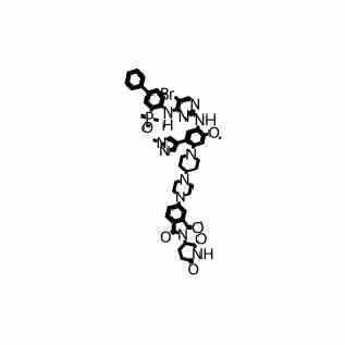 COc1cc(N2CCC(N3CCN(c4ccc5c(c4)C(=O)N(C4CCC(=O)NC4=O)C5=O)CC3)CC2)c(-c2cnn(C)c2)cc1Nc1ncc(Br)c(Nc2ccc(-c3ccccc3)cc2P(C)(C)=O)n1